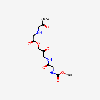 COC(=O)CNCC(=O)OCC(=O)CNC(=O)CNC(=O)OC(C)(C)C